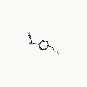 CCc1ccc(NC#N)cc1